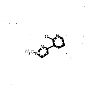 Cn1ccc(-c2cccnc2[O])n1